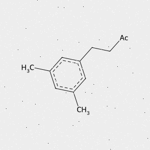 CC(=O)CCc1cc(C)cc(C)c1